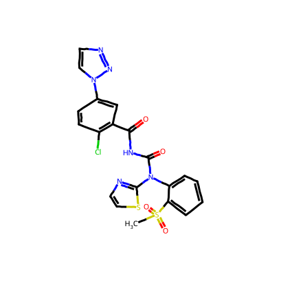 CS(=O)(=O)c1ccccc1N(C(=O)NC(=O)c1cc(-n2ccnn2)ccc1Cl)c1nccs1